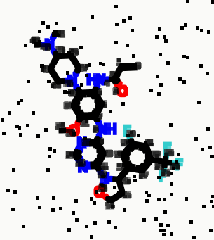 C=CC(=O)Nc1cc(Nc2cc(N3OCCC3c3cc(F)cc(C(F)(F)F)c3)ncn2)c(OC)cc1N1CCC(N(C)C)CC1